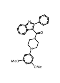 COc1cc(OC)cc(N2CCN(C(=O)c3c4ccccc4nn3-c3ccccc3)CC2)c1